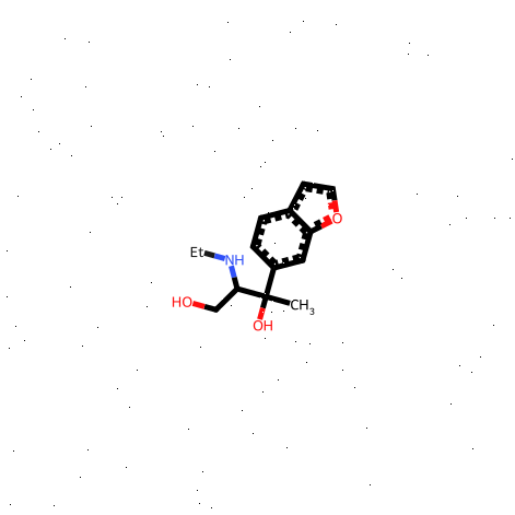 CCNC(CO)C(C)(O)c1ccc2ccoc2c1